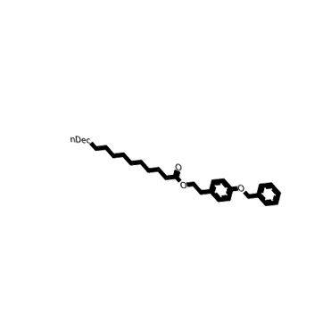 CCCCCCCCCCCCCCCCCCCC(=O)OCCc1ccc(OCc2ccccc2)cc1